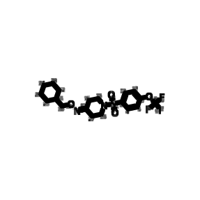 O=S(=O)(c1ccc(OC(F)(F)F)cc1)N1CCC(=NOCC2CCCCC2)CC1